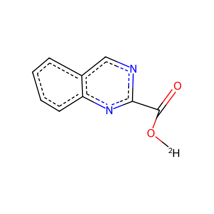 [2H]OC(=O)c1ncc2ccccc2n1